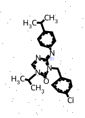 CC(C)c1ccc(/N=c2\ncn(C(C)C)c(=O)n2Cc2ccc(Cl)cc2)cc1